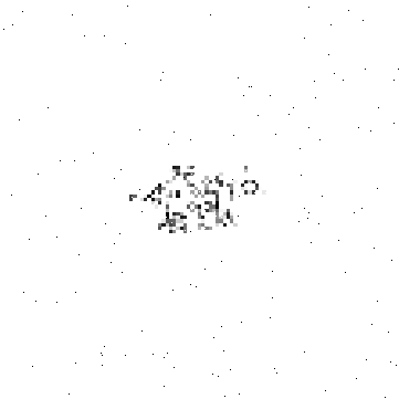 CC1=NO[C@@]2(CC[C@H](C)N3C[C@H]2n2cc(C(=O)NCc4ccc(F)cc4F)c(=O)c(OCOC(=O)C4(CCN(CC(=O)O)C(=O)OCOP(=O)(O)O)CC4)c2C3=O)C1